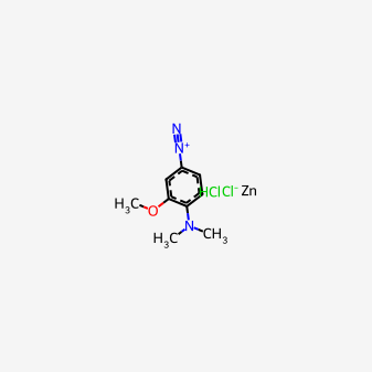 COc1cc([N+]#N)ccc1N(C)C.Cl.[Cl-].[Zn]